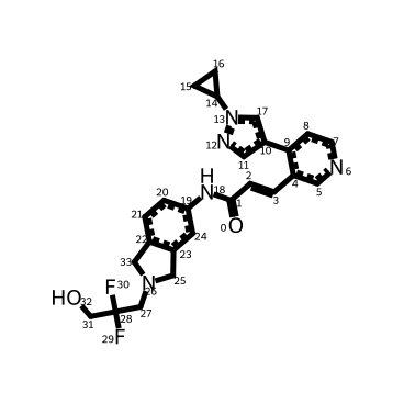 O=C(C=Cc1cnccc1-c1cnn(C2CC2)c1)Nc1ccc2c(c1)CN(CC(F)(F)CO)C2